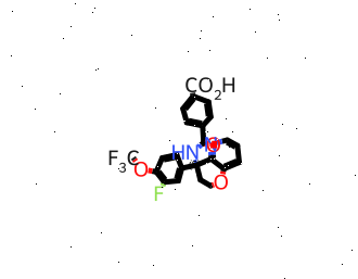 O=C(O)c1ccc(C(=O)N[C@]2(c3ccc(OC(F)(F)F)c(F)c3)CCOc3cccnc32)cc1